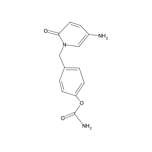 NC(=O)Oc1ccc(Cn2cc(N)ccc2=O)cc1